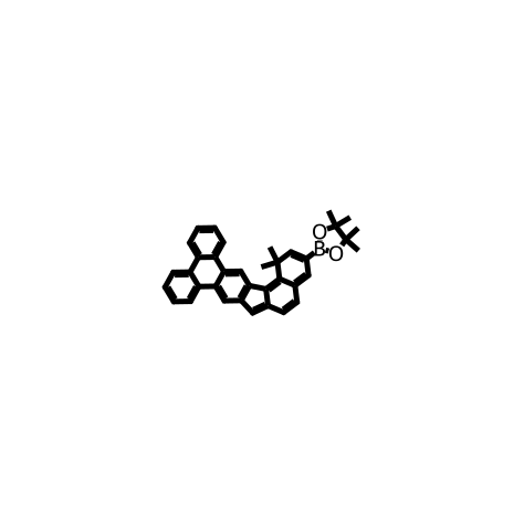 CC1(C)C=C(B2OC(C)(C)C(C)(C)O2)C=c2ccc3c(c21)-c1cc2c4ccccc4c4ccccc4c2cc1C=3